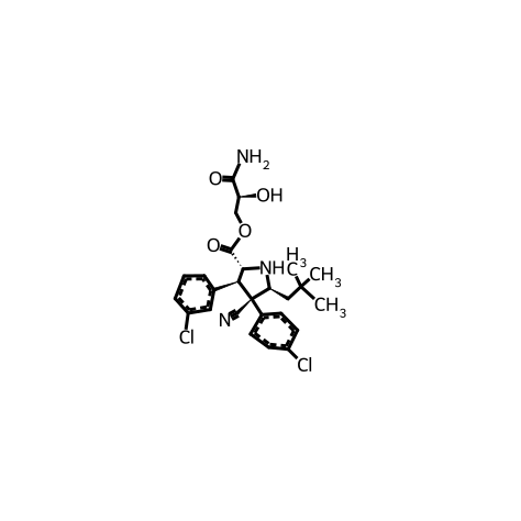 CC(C)(C)C[C@@H]1N[C@@H](C(=O)OC[C@H](O)C(N)=O)[C@H](c2cccc(Cl)c2)[C@@]1(C#N)c1ccc(Cl)cc1